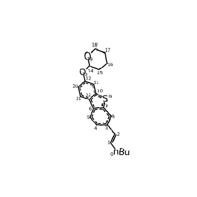 CCCCC=Cc1ccc2c(c1)sc1cc(OC3CCCCO3)ccc12